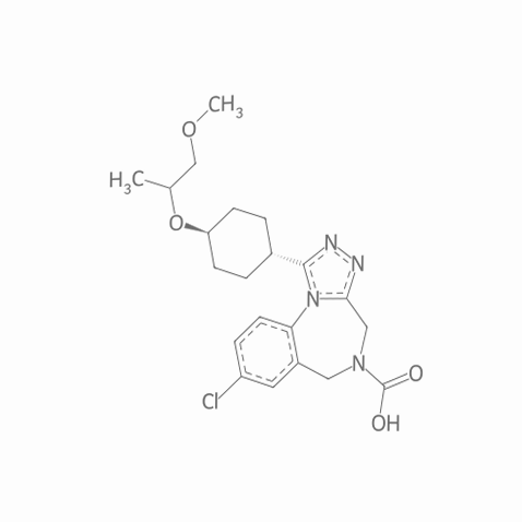 COCC(C)O[C@H]1CC[C@H](c2nnc3n2-c2ccc(Cl)cc2CN(C(=O)O)C3)CC1